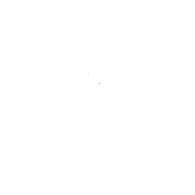 CC(C)CC[C@]1(O)[C@@]2(O)C(=O)O[C@]13C(=Cc1cccc(O)c1C3O)C(=O)[C@H]2C